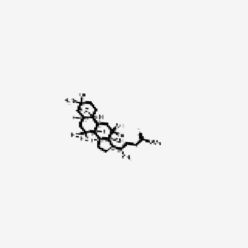 COC(=O)CC[C@@H](C)[C@H]1CC[C@H]2[C@H]3[C@H](CC(O)(O)[C@]12C)[C@@]1(C)CC[C@@](N)(O)C[C@H]1CC3(O)O